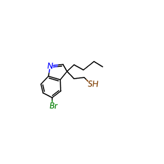 CCCCC1(CCS)C=Nc2ccc(Br)cc21